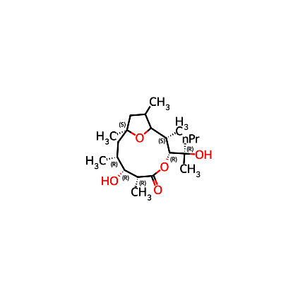 CCC[C@@](C)(O)[C@@H]1OC(=O)[C@H](C)[C@H](O)[C@H](C)C[C@@]2(C)CC(C)C(O2)[C@@H]1C